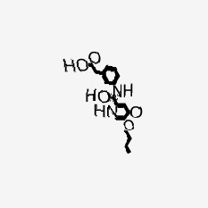 CCCCOc1c[nH]c([C@@H](O)Nc2cccc(CC(=O)O)c2)cc1=O